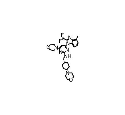 Cc1cccc2c1nc(C(F)F)n2-c1cc(N2CCOCC2)nc(NC[C@H]2CC[C@H](N3CCOCC3)CC2)n1